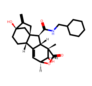 C=C1C[C@]23C[C@]1(O)CC[C@H]2C1=C[C@@H]2OC(=O)[C@@](C)([C@H]1[C@@H]3C(=O)NCC1CCCCC1)[C@H]2O